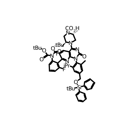 Cc1cc(CO[Si](c2ccccc2)(c2ccccc2)C(C)(C)C)cc(C(C)C)c1-n1c(=O)nc(N2C[C@@H](C)N(C(=O)O)C[C@@H]2C)c2cc(F)c(-c3c(F)cccc3N(C(=O)OC(C)(C)C)C(=O)OC(C)(C)C)nc21